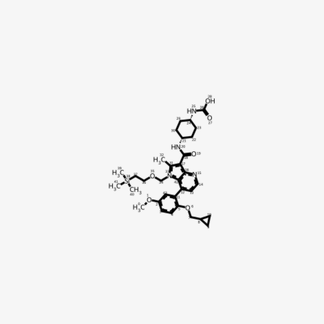 COc1ccc(OCC2CC2)c(-c2ccnc3c(C(=O)N[C@H]4CC[C@@H](NC(=O)O)CC4)c(C)n(COCC[Si](C)(C)C)c23)c1